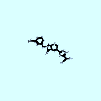 O=C1c2cc(-c3nnc(C(F)F)o3)cnc2CN1Cc1cccc(Br)c1